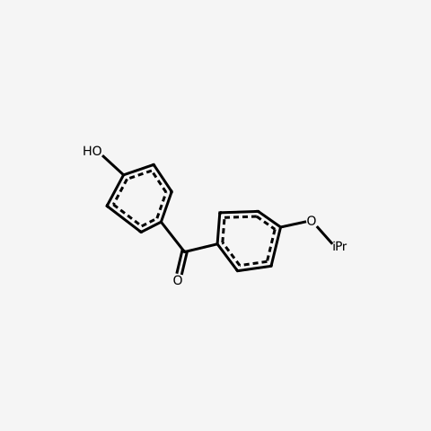 CC(C)Oc1ccc(C(=O)c2ccc(O)cc2)cc1